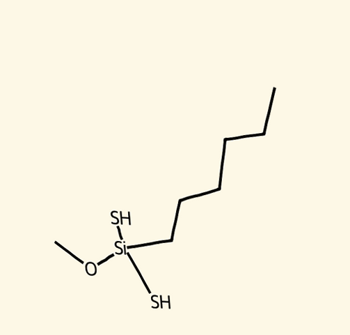 CCCCCC[Si](S)(S)OC